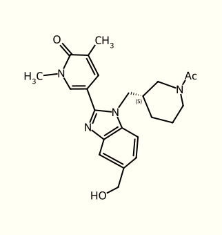 CC(=O)N1CCC[C@H](Cn2c(-c3cc(C)c(=O)n(C)c3)nc3cc(CO)ccc32)C1